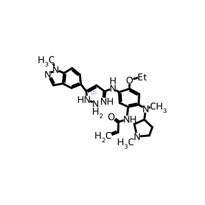 C=CC(=O)Nc1cc(NC(=N)/C=C(\NN)c2ccc3c(cnn3C)c2)c(OCC)cc1N(C)C1CCN(C)C1